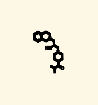 CN(C)C(=O)C1CCN(C[C@@H](O)CN2CCc3ccccc3C2)CC1